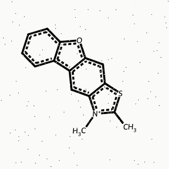 Cc1sc2cc3oc4ccccc4c3cc2[n+]1C